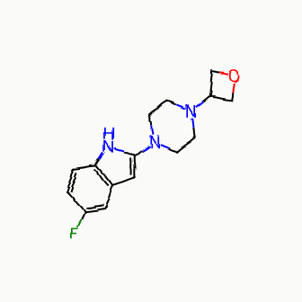 Fc1ccc2[nH]c(N3CCN(C4COC4)CC3)cc2c1